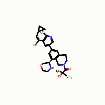 Cc1ncc(-c2cc3c(c([C@@H]4COCCN4)c2)CN(C(=O)C(C)(C)O)CC3)cc1/C(Cl)=C\C1CC1